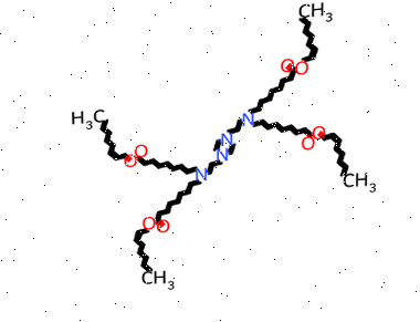 CCCCCC/C=C\COC(=O)CCCCCCCCN(CCCCCCCCC(=O)OC/C=C\CCCCCC)CCCN1CCN(CCCN(CCCCCCCCC(=O)OC/C=C\CCCCCC)CCCCCCCCC(=O)OC/C=C\CCCCCC)CC1